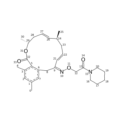 Cc1cc(C)c2c(c1)CC(=N/OCC(=O)N1CCCCC1)/C=C/C[C@H](C)/C=C/C[C@@H](C)OC2=O